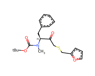 CN(C(=O)OC(C)(C)C)[C@@H](Cc1ccccc1)C(=O)CSCc1ccco1